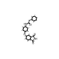 O=C(Cc1ccccc1)Nc1ccc(Oc2ccc3c(c2)C(=O)NC3=O)cc1